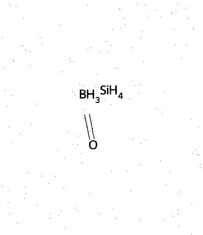 B.C=O.[SiH4]